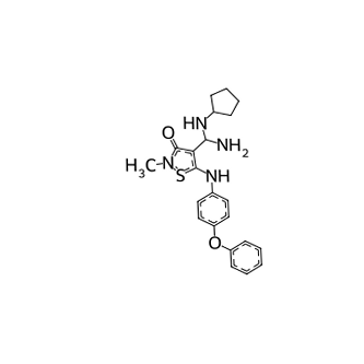 Cn1sc(Nc2ccc(Oc3ccccc3)cc2)c(C(N)NC2CCCC2)c1=O